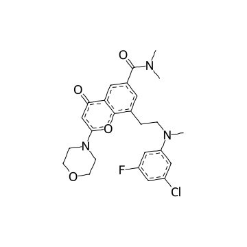 CN(C)C(=O)c1cc(CCN(C)c2cc(F)cc(Cl)c2)c2oc(N3CCOCC3)cc(=O)c2c1